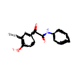 COc1cc(C(=O)C(=O)Nc2ccccc2)ccc1O